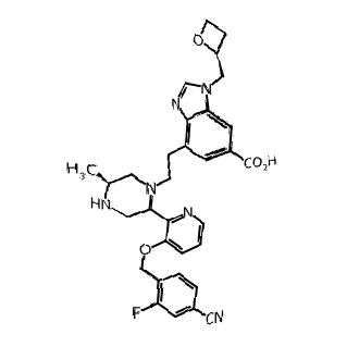 C[C@H]1CN(CCc2cc(C(=O)O)cc3c2ncn3C[C@@H]2CCO2)C(c2ncccc2OCc2ccc(C#N)cc2F)CN1